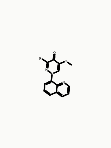 COc1cn(-c2cccc3cccnc23)nc(Br)c1=O